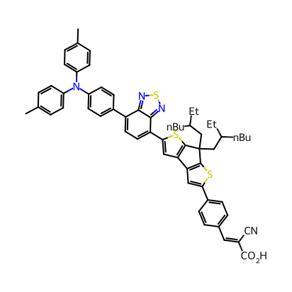 CCCCC(CC)CC1(CC(CC)CCCC)c2sc(-c3ccc(/C=C(\C#N)C(=O)O)cc3)cc2-c2cc(-c3ccc(-c4ccc(N(c5ccc(C)cc5)c5ccc(C)cc5)cc4)c4nsnc34)sc21